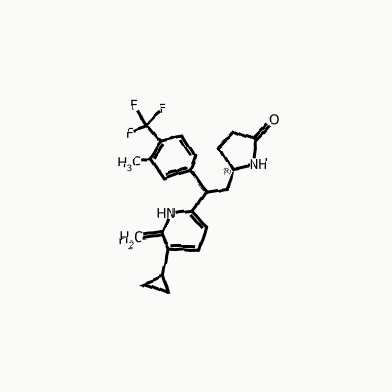 C=C1NC(C(C[C@H]2CCC(=O)N2)c2ccc(C(F)(F)F)c(C)c2)=CC=C1C1CC1